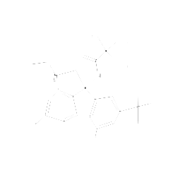 COC(=O)CC(NC(=O)C(C)(C)C)(c1cc(F)cc(C(F)(F)F)c1)c1ccc(Cl)cn1